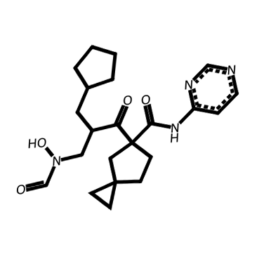 O=CN(O)CC(CC1CCCC1)C(=O)C1(C(=O)Nc2ccncn2)CCC2(CC2)C1